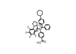 O=C(O)c1ccc(N(Cc2ccc(C3CCCCC3)cc2)C(=O)[C@]2(OCc3ccccc3)CCCN2c2c(F)c(F)c(F)c(F)c2F)cc1